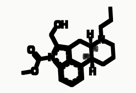 CCCN1CCC[C@@H]2c3cccc4c3c(c(CO)n4C(=O)OC)C[C@H]21